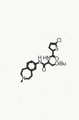 CC(C)COCC(NC(=O)C1CC=C(Cl)S1)C(=O)Nc1ccc2c(c1)CCN(C)CC2